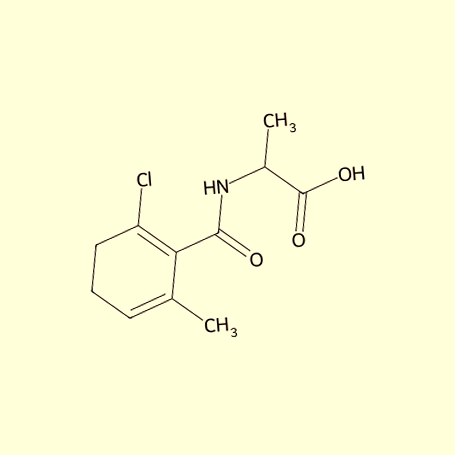 CC1=CCCC(Cl)=C1C(=O)NC(C)C(=O)O